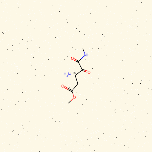 CNC(=O)C(=O)[C@@H](N)CC(=O)OC